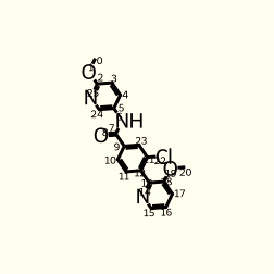 COc1ccc(NC(=O)c2ccc(-c3ncccc3OC)c(Cl)c2)cn1